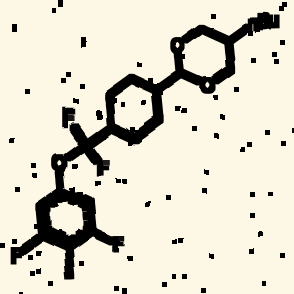 CCCCC1COC(C2CCC(C(F)(F)Oc3cc(F)c(C)c(F)c3)CC2)OC1